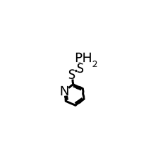 PSSc1ccccn1